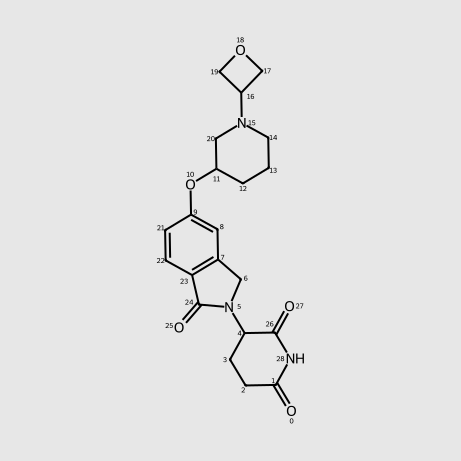 O=C1CCC(N2Cc3cc(OC4CCCN(C5COC5)C4)ccc3C2=O)C(=O)N1